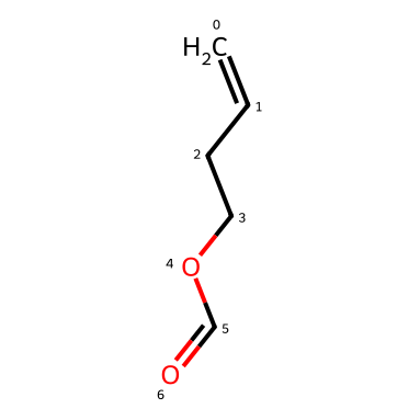 C=CCCOC=O